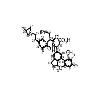 Cc1cc(F)cc(C)c1-c1cc([C@H](CC(=O)O)NC(=O)[C@H](CC(C)C)n2cc(CCN3CC(F)C3)cc(F)c2=O)cc2c1CCC2